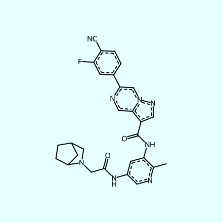 Cc1ncc(NC(=O)CN2CC3CCC2C3)cc1NC(=O)c1cnn2cc(-c3ccc(C#N)c(F)c3)ncc12